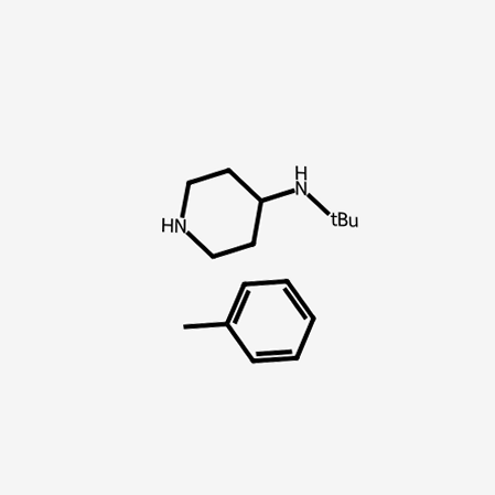 CC(C)(C)NC1CCNCC1.Cc1ccccc1